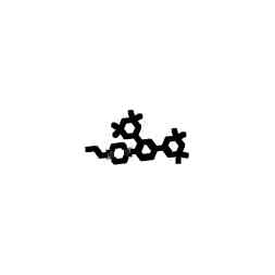 CCCN1CCN(c2ccc(C3=CC(C)(C)CC(C)(C)C3)cc2C2CC(C)(C)CC(C)(C)C2)CC1